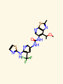 COC(C)c1c(NC(=O)Nc2cnc(Nc3nccs3)c(C(F)(F)F)c2)cnc2sc(C)nc12